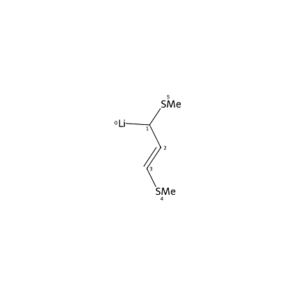 [Li][CH](C=CSC)SC